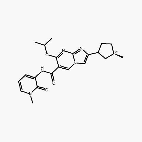 CC(C)Oc1nc2nc(C3CC[C@@H](C)C3)cn2cc1C(=O)Nc1cccn(C)c1=O